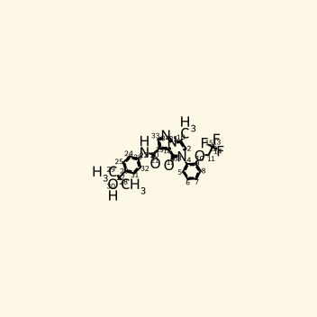 Cc1cn(-c2ccccc2OCC(F)(F)F)c(=O)c2c(C(=O)Nc3ccc(C(C)(C)O)cc3)cnn12